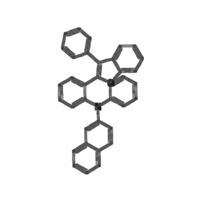 c1ccc(-c2c(-c3ccccc3N(c3ccccc3)c3ccc4ccccc4c3)oc3ccccc23)cc1